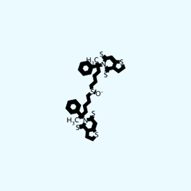 CC(CCCC[S+]([O-])CCCCC(C)(c1ccccc1)N1C(=S)C=C2SCCC2C1=S)(c1ccccc1)N1C(=S)C=C2SCCC2C1=S